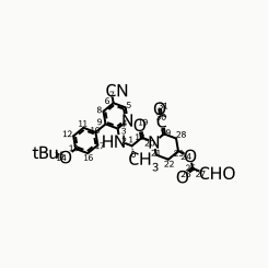 C[C@H](Nc1ncc(C#N)cc1-c1ccc(OC(C)(C)C)cc1)C(=O)N1CCC(OC(=O)C=O)CC1=C=O